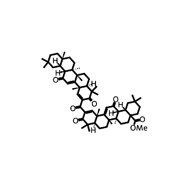 COC(=O)C12CCC(C)(C)C[C@H]1[C@H]1C(=O)C=C3[C@@]4(C)C=C(C(=O)C5=C[C@]6(C)C7=CC(=O)[C@@H]8[C@@H]9CC(C)(C)CC[C@]9(C)CC[C@@]8(C)[C@]7(C)CC[C@H]6C(C)(C)C5=O)C(=O)C(C)(C)[C@@H]4CC[C@@]3(C)[C@]1(C)CC2